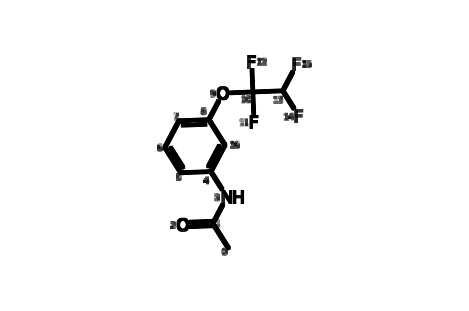 CC(=O)Nc1cccc(OC(F)(F)C(F)F)c1